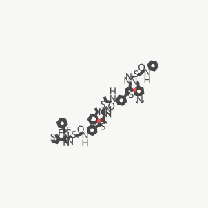 CC(Sc1nnc(-c2csc(-c3ccc(NC(=O)CSc4nnc(-c5ccsc5)n4C(F)(F)c4ccccc4)cc3)c2)n1C(C)C1C=CC=CC1)C(=O)Nc1cccc(-c2cc(-c3nnc(SCC(=O)Nc4ccccc4)n3Cc3ccc(N(C)C)cc3)cs2)c1